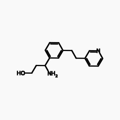 NC(CCO)c1cccc(CCc2cccnc2)c1